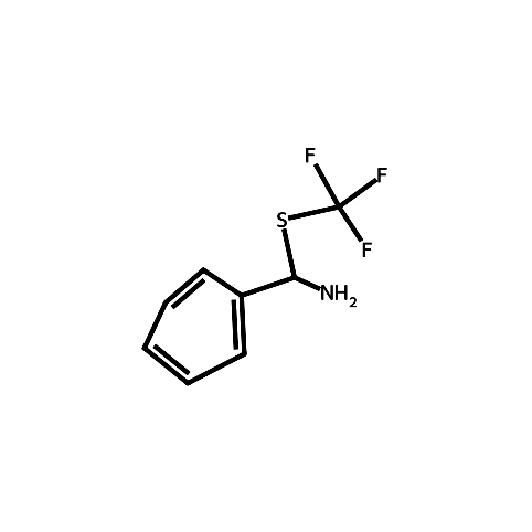 NC(SC(F)(F)F)c1ccccc1